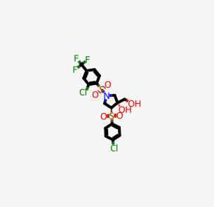 O=S(=O)(c1ccc(Cl)cc1)[C@H]1CN(S(=O)(=O)c2ccc(C(F)(F)F)cc2Cl)C[C@@]1(O)CO